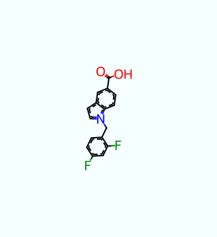 O=C(O)c1ccc2c(ccn2Cc2ccc(F)cc2F)c1